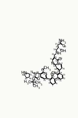 COc1nc(-c2cccc(-c3cccc(-c4ccn5c(=O)c(CNC[C@@H](O)CC(N)=O)cnc5c4)c3Cl)c2Cl)ccc1CN(C[C@@H]1CCCN1)C(=O)OC(C)(C)C